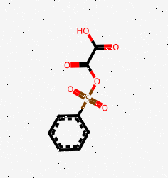 O=C(O)C(=O)OS(=O)(=O)c1ccccc1